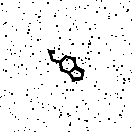 OCC1COc2ccnn2C1